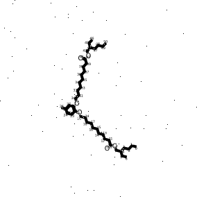 CCCCC(CC)COC(=O)CCCCCCCCCCOc1ccc(C)cc1OCCCCCCCCCCC(=O)OCC(CC)CCCC